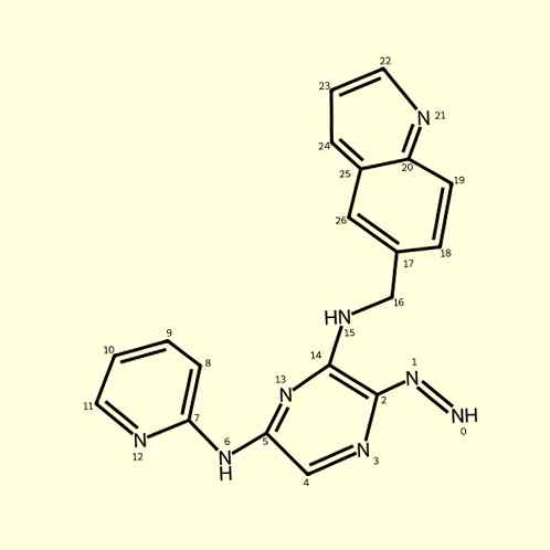 N=Nc1ncc(Nc2ccccn2)nc1NCc1ccc2ncccc2c1